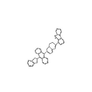 C1=C(c2c3ccccc3c(C3=CC=C4C=C(c5cccc6c5sc5ccccc56)CCC4C3)c3ccccc23)Cc2ccccc21